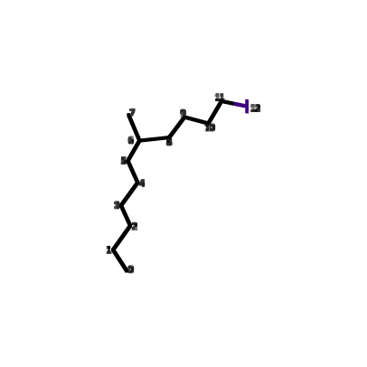 CCCCCCC(C)CCCCI